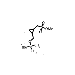 COS(=O)(=O)CC1CC1CO[Si](C)(C)C(C)(C)C